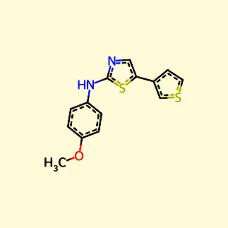 COc1ccc(Nc2ncc(-c3ccsc3)s2)cc1